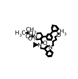 COCCCCn1cc(CN(C(=O)C2=C(c3cccc(-c4ccccc4)c3)CCN(C(=O)OC(C)(C)C)C2)C2CC2)c2ccccc21